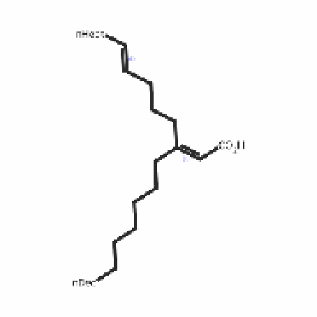 CCCCCCC/C=C/CCC/C(=C\C(=O)O)CCCCCCCCCCCCCCCC